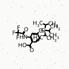 CC(C)[Si](Oc1ccc(C(=O)O)c(NC(=O)C(F)(F)F)c1)(C(C)C)C(C)C